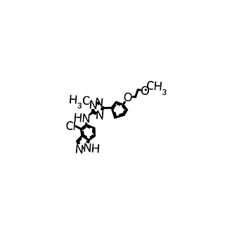 COCCOc1cccc(-c2nc(Nc3ccc4[nH]ncc4c3Cl)n(C)n2)c1